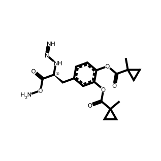 CC1(C(=O)Oc2ccc(C[C@H](NN=N)C(=O)ON)cc2OC(=O)C2(C)CC2)CC1